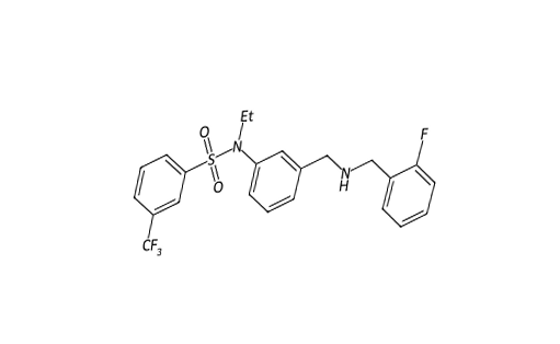 CCN(c1cccc(CNCc2ccccc2F)c1)S(=O)(=O)c1cccc(C(F)(F)F)c1